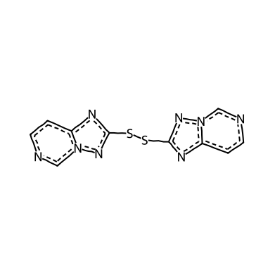 c1cc2nc(SSc3nc4ccncn4n3)nn2cn1